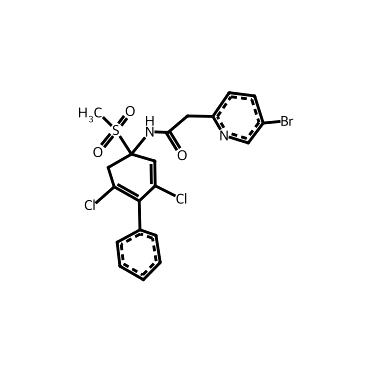 CS(=O)(=O)C1(NC(=O)Cc2ccc(Br)cn2)C=C(Cl)C(c2ccccc2)=C(Cl)C1